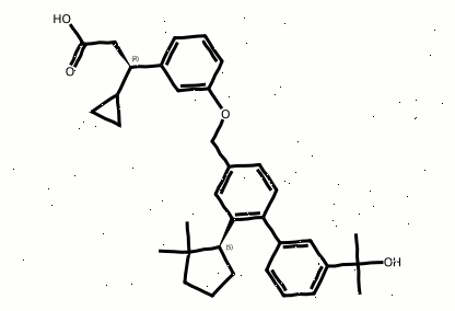 CC(C)(O)c1cccc(-c2ccc(COc3cccc([C@H](CC(=O)O)C4CC4)c3)cc2[C@H]2CCCC2(C)C)c1